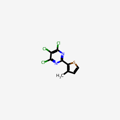 Cc1ccsc1-c1nc(Cl)c(Cl)c(Cl)n1